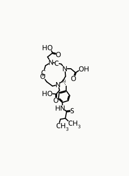 CCC(C)C(=S)Nc1ccc(C[C@H]2CN(CC(=O)O)CCN(CC(=O)O)CCOCCN2CC(=O)O)cc1